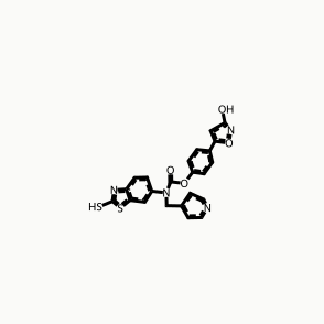 O=C(Oc1ccc(-c2cc(O)no2)cc1)N(Cc1ccncc1)c1ccc2nc(S)sc2c1